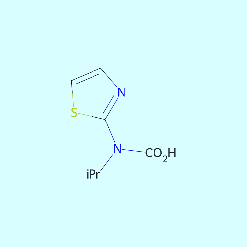 CC(C)N(C(=O)O)c1nccs1